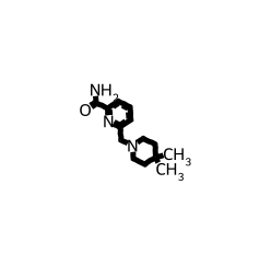 CC1(C)CCN(Cc2cccc(C(N)=O)n2)CC1